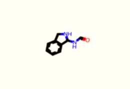 O=CNC1NCc2ccccc21